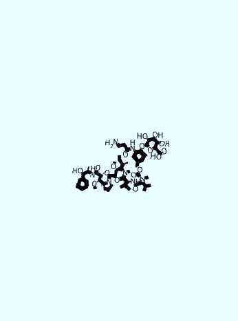 CC[C@@H](C)C(C(CC(=O)N1CCC[C@H]1[C@H](OC)[C@@H](C)C(=O)N[C@H](C)[C@@H](O)c1ccccc1)OC)N(C)C(=O)[C@@H](NC(=O)C(C(C)C)N(C)C(=O)OCc1ccc(OC2OC(C(=O)O)C(O)[C@H](O)[C@@H]2O)c(NC(=O)CCN)c1)C(C)C